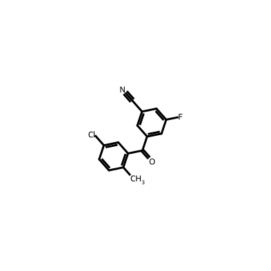 Cc1ccc(Cl)cc1C(=O)c1cc(F)cc(C#N)c1